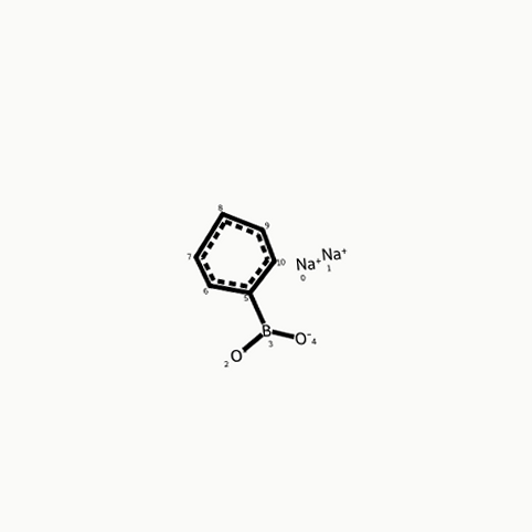 [Na+].[Na+].[O-]B([O-])c1ccccc1